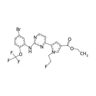 CCOC(=O)c1cc(-c2ccnc(Nc3cc(Br)ccc3OC(F)(F)F)n2)n(CCF)c1